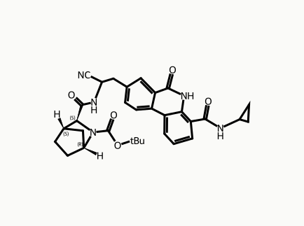 CC(C)(C)OC(=O)N1[C@@H]2CC[C@@H](C2)[C@H]1C(=O)NC(C#N)Cc1ccc2c(c1)c(=O)[nH]c1c(C(=O)NC3CC3)cccc12